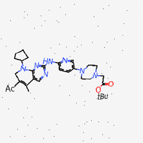 CC(=O)C1=C(C)c2cnc(Nc3ccc(N4CCN(CC(=O)OC(C)(C)C)CC4)cn3)nc2N(C2CCCC2)C1